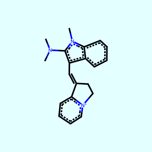 CN(C)c1c(/C=C2\CC[n+]3ccccc32)c2ccccc2n1C